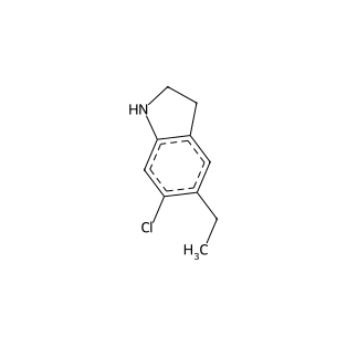 CCc1cc2c(cc1Cl)NCC2